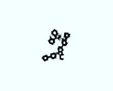 C/C=C\C1=C(C)C2C=C(c3ccc4c5ccccc5n(-c5nc6c7c(cccc7n5)Sc5ccccc5-6)c4c3)C=CC2N1c1ccc(-c2ccccc2)cc1